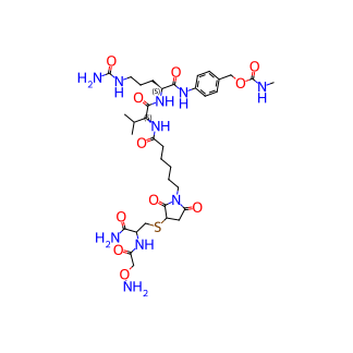 CNC(=O)OCc1ccc(NC(=O)[C@H](CCCNC(N)=O)NC(=O)[C@@H](NC(=O)CCCCCN2C(=O)CC(SCC(NC(=O)CON)C(N)=O)C2=O)C(C)C)cc1